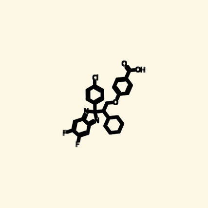 O=C(O)c1ccc(OCC(C2CCCCC2)C2(c3ccc(Cl)cc3)N=c3cc(F)c(F)cc3=N2)cc1